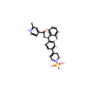 Cc1cc(C(=O)C[C@H](c2ccc(C3=CCN(S(C)(=O)=O)CC3)cc2)c2ccccc2C)ccn1